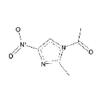 CC(=O)n1cc([N+](=O)[O-])nc1C